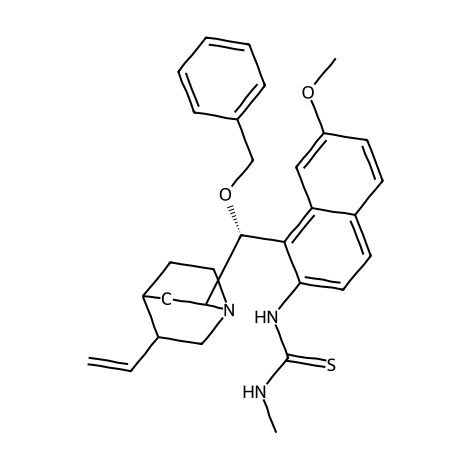 C=CC1CN2CCC1CC2[C@H](OCc1ccccc1)c1c(NC(=S)NC)ccc2ccc(OC)cc12